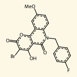 COc1ccc2c(c1)c1oc(=O)c(Br)c(O)c1c(=O)n2Cc1ccc(F)cc1